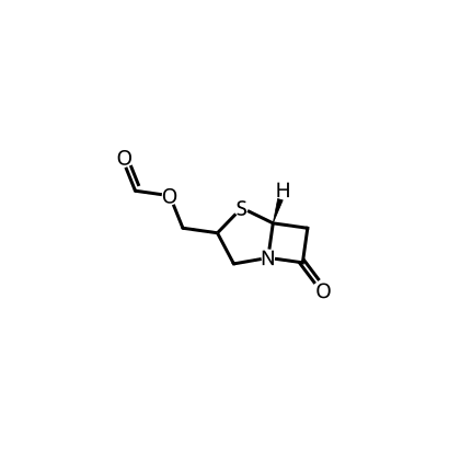 O=COCC1CN2C(=O)C[C@H]2S1